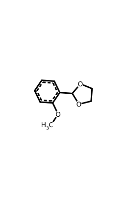 COc1ccccc1C1OCCO1